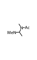 CNC(C)N(C)C(C)=O